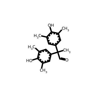 Cc1cc(C(C)(C=O)c2cc(C)c(O)c(C)c2)cc(C)c1O